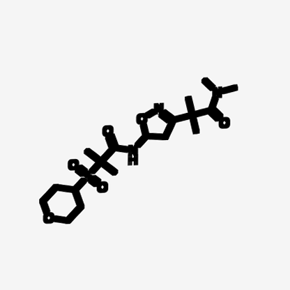 CN(C)C(=O)C(C)(C)C1=NOC(NC(=O)C(C)(C)S(=O)(=O)C2CCOCC2)C1